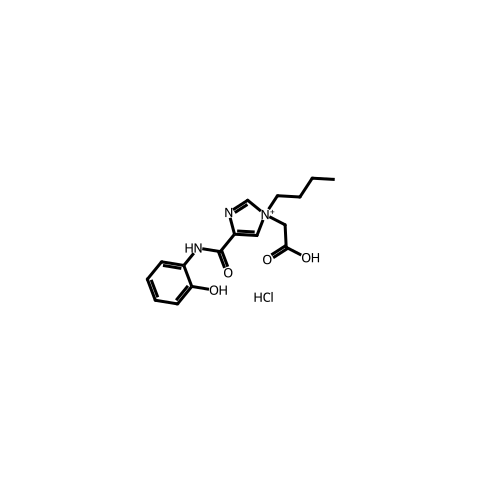 CCCC[N+]1(CC(=O)O)C=NC(C(=O)Nc2ccccc2O)=C1.Cl